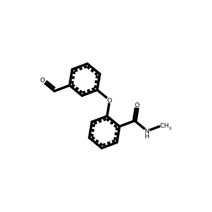 CNC(=O)c1ccccc1Oc1cccc(C=O)c1